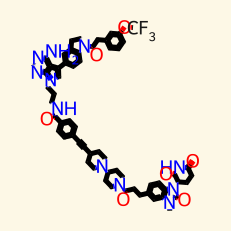 Cn1c(=O)n(C2CCC(=O)NC2=O)c2ccc(CCC(=O)N3CCC(N4CCC(C#Cc5ccc(C(=O)NCCCn6cc(-c7ccc8c(c7)CCN8C(=O)Cc7cccc(OC(F)(F)F)c7)c7c(N)ncnc76)cc5)CC4)CC3)cc21